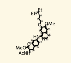 CCN(CC)CCCOc1cc2c(Nc3ccc(CC(NC(C)=O)C(=O)OC)cc3)ncnc2cc1OC